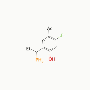 CCC(P)c1cc(C(C)=O)c(F)cc1O